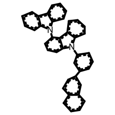 c1cc(-c2ccc3ccccc3c2)cc(-n2c3ccccc3c3c(-n4c5ccccc5c5ccccc54)cccc32)c1